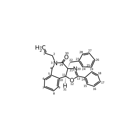 C=CCN1Cc2ccccc2[C@@H]2OC(c3ccccc3)=N[C@]2(Cc2ccccc2)C1=O